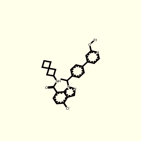 CCOc1cc(-c2ccc(C(C)n3ncc4c(Cl)ccc(C(=O)NC5CC6(CCC6)C5)c43)cc2)ccn1